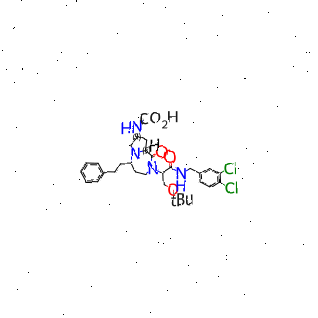 CC(C)(C)OCC(C(=O)NCc1ccc(Cl)c(Cl)c1)N1CCC(CCc2ccccc2)N2C[C@H](NC(=O)O)C[C@H]2C1=O